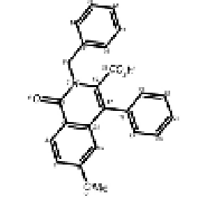 COc1ccc2c(=O)n(Cc3ccccc3)c(C(=O)O)c(-c3ccccc3)c2c1